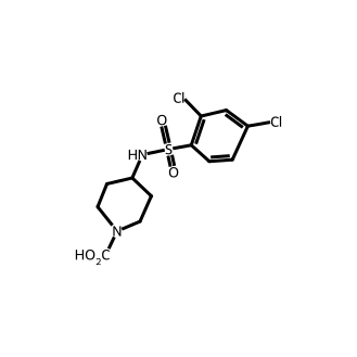 O=C(O)N1CCC(NS(=O)(=O)c2ccc(Cl)cc2Cl)CC1